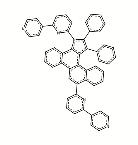 c1ccc(-c2c(-c3ccccc3)n(-c3cccc(-c4ccncc4)n3)c3c4ccccc4c4cc(-c5cccc(-c6ccncc6)n5)c5ccccc5c4c23)cc1